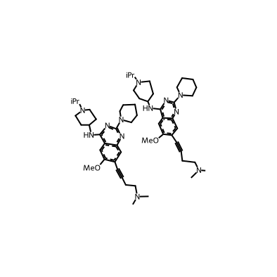 COc1cc2c(NC3CCN(C(C)C)CC3)nc(N3CCCCC3)nc2cc1C#CCCN(C)C.COc1cc2c(NC3CCN(C(C)C)CC3)nc(N3CCCCC3)nc2cc1C#CCCN(C)C